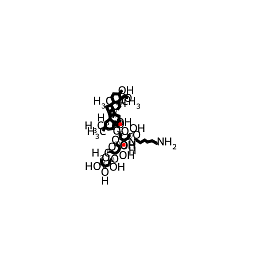 C[C@H]1O[C@@H](OC2C(O)C(NC(=O)CCCCCN)[C@@H](CO)O[C@H]2OC(=O)C23CCC(C)(C)CC2C2=C4CC5C6(C)CCC(O)C(C)(C=O)[C@@H]6CC[C@@]45[C@]2(C)C[C@H]3O)C(O)C(O)C1O[C@@H]1OC[C@@H](O)C(O)C1O